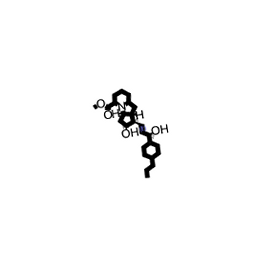 CCCC1CCC([C@@H](O)/C=C/[C@@H]2[C@H]3CC4CCCC(C(=O)OC)N4[C@@H]3C[C@H]2O)CC1